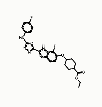 CCOC(=O)C1CCC(Oc2ccc3nc(-c4nnc(Nc5ccc(F)cc5)o4)[nH]c3c2F)CC1